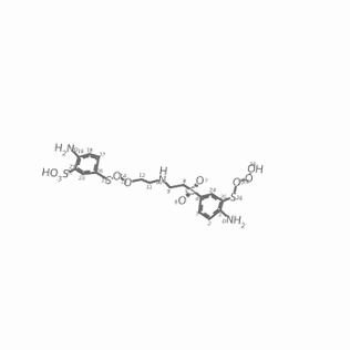 Nc1ccc(S(=O)(=O)CCNCCOOSc2ccc(N)c(S(=O)(=O)O)c2)cc1SOOO